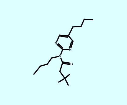 CCCCc1cnc(N(CCCC)C(=O)CC(C)(C)C)nc1